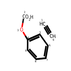 C#C.O=C(O)Oc1ccccc1